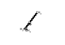 CCCCCCCCCCCCOC(=O)CCCCCN(C)OC